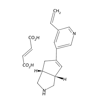 C=Cc1cncc(C2=C[C@@H]3CNC[C@@H]3C2)c1.O=C(O)/C=C/C(=O)O